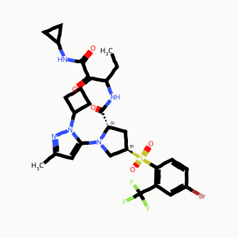 CCC(NC(=O)[C@@H]1C[C@@H](S(=O)(=O)c2ccc(Br)cc2C(F)(F)F)CN1c1cc(C)nn1C1CCC1)C(=O)C(=O)NC1CC1